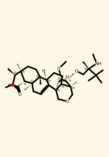 CN[C@@](C)(CO[C@H]1[C@H](OC)C[C@@]23COC[C@@]1(C)[C@@H]2CC[C@H]1C3=CC[C@@]2(C)[C@H](C(=O)O)[C@@](C)([C@H](C)C(C)C)CC[C@]12C)C(C)(C)C